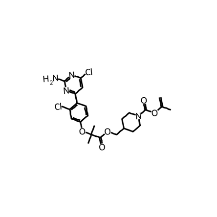 C=C(C)OC(=O)N1CCC(COC(=O)C(C)(C)Oc2ccc(-c3cc(Cl)nc(N)n3)c(Cl)c2)CC1